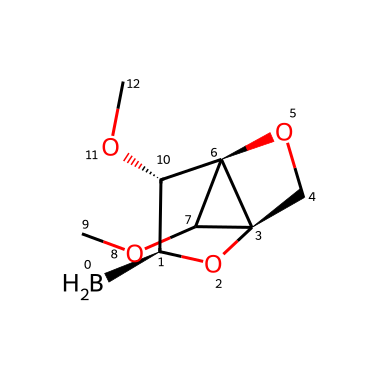 B[C@@H]1O[C@@]23CO[C@@]2(C3OC)[C@H]1OC